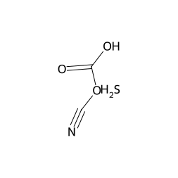 N#COC(=O)O.S